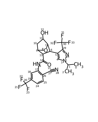 CC(C)n1cc(C2C3OC(CC3O)C2C(=O)Nc2cc(C(F)(F)F)ccc2C#N)c(C(F)(F)F)n1